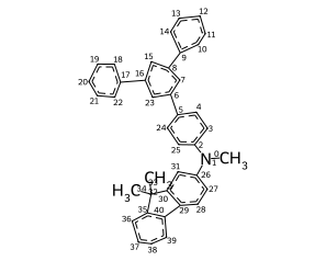 CN(c1ccc(-c2cc(-c3ccccc3)cc(-c3ccccc3)c2)cc1)c1ccc2c(c1)C(C)(C)c1ccccc1-2